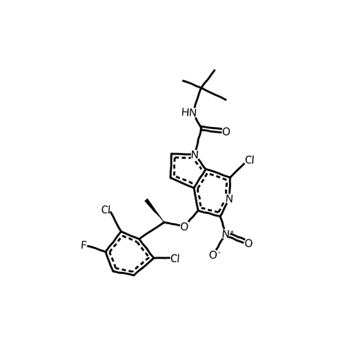 C[C@@H](Oc1c([N+](=O)[O-])nc(Cl)c2c1ccn2C(=O)NC(C)(C)C)c1c(Cl)ccc(F)c1Cl